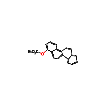 CCOC(=O)Oc1cccc2c1ccc1c3ccccc3ccc21